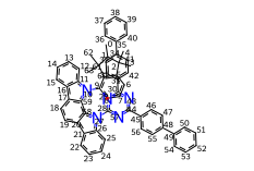 CC1C(C)(C)c2cccc(-n3c4ccccc4c4ccc5c6ccccc6n(-c6nc(-c7ccc(-c8ccccc8)cc7)nc(-c7ccc(-c8ccccc8)cc7)n6)c5c43)c2C1(C)C